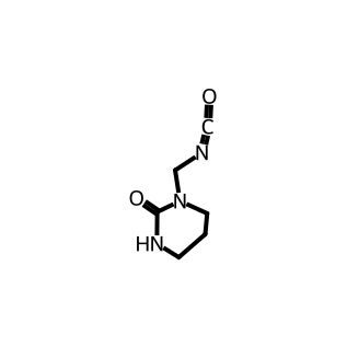 O=C=NCN1CCCNC1=O